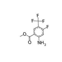 COC(=O)c1cc(C(F)(F)F)c(F)cc1N